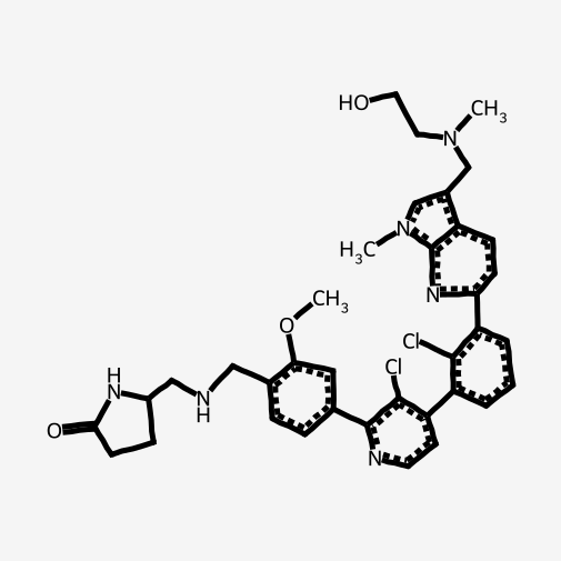 COc1cc(-c2nccc(-c3cccc(-c4ccc5c(CN(C)CCO)cn(C)c5n4)c3Cl)c2Cl)ccc1CNCC1CCC(=O)N1